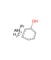 Oc1ccccc1.[AlH3].[CH2]C(C)C